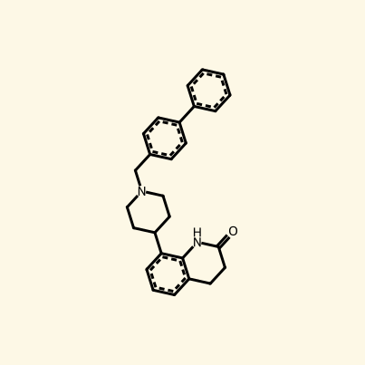 O=C1CCc2cccc(C3CCN(Cc4ccc(-c5ccccc5)cc4)CC3)c2N1